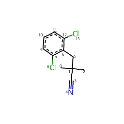 CC(C)(C#N)Cc1c(Cl)cccc1Cl